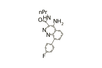 CCCNC(=O)c1nnc2c(-c3ccc(F)cc3)cccc2c1N